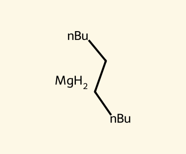 [CH2]CCCCCCCCC.[MgH2]